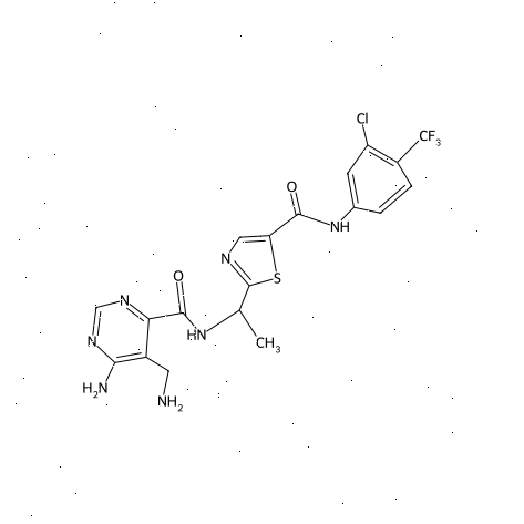 CC(NC(=O)c1ncnc(N)c1CN)c1ncc(C(=O)Nc2ccc(C(F)(F)F)c(Cl)c2)s1